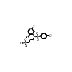 CCS(=O)(=O)CC[C@@H](C)N(c1cc(Cl)ccc1Cl)S(=O)(=O)c1ccc(Cl)cc1